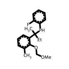 CCC(C)(Pc1ccccc1F)c1cccc(C)c1OCOC